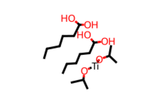 CC(C)[O][Ti][O]C(C)C.CCCCCC(O)O.CCCCCC(O)O